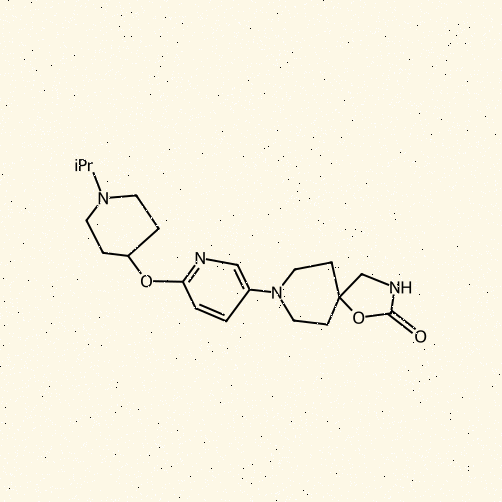 CC(C)N1CCC(Oc2ccc(N3CCC4(CC3)CNC(=O)O4)cn2)CC1